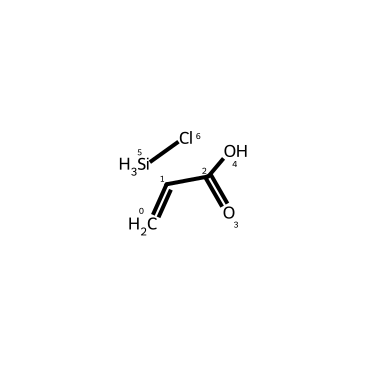 C=CC(=O)O.[SiH3]Cl